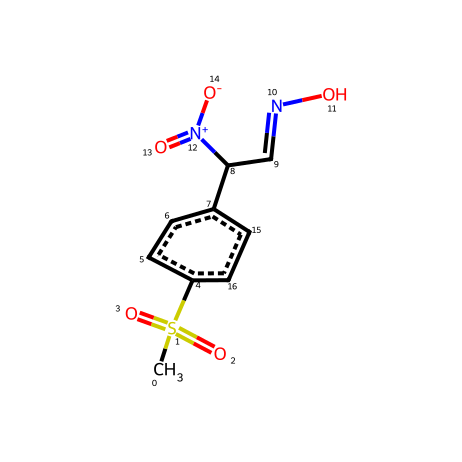 CS(=O)(=O)c1ccc(C(C=NO)[N+](=O)[O-])cc1